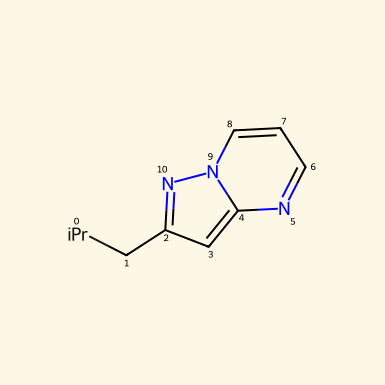 CC(C)Cc1cc2ncccn2n1